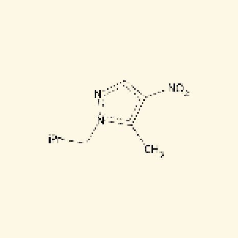 Cc1c([N+](=O)[O-])cnn1CC(C)C